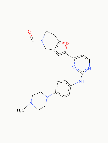 CN1CCN(c2ccc(Nc3nccc(-c4cc5c(o4)CCN(C=O)C5)n3)cc2)CC1